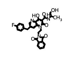 CC(CO)NC(=O)c1c(O)c2ncc(Cc3ccc(F)cc3)cc2n(CCN2C(=O)c3ccccc3C2=O)c1=O